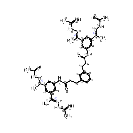 C/C(=N\NC(=N)N)c1cc(NC(=O)CCc2cccc(CCC(=O)Nc3cc(/C(C)=N/NC(=N)N)cc(/C(C)=N/NC(=N)N)c3)c2)cc(/C(C)=N/NC(=N)N)c1